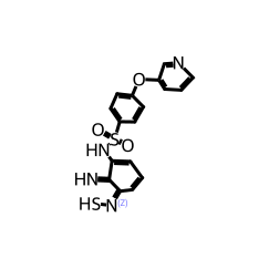 N=C1C(NS(=O)(=O)c2ccc(Oc3cccnc3)cc2)=CC=C/C1=N/S